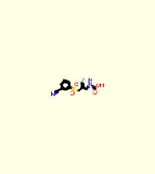 N#Cc1cccc(S(=O)(=O)CC(=CF)CNC(=O)O)c1